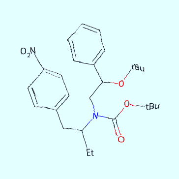 CCC(Cc1ccc([N+](=O)[O-])cc1)N(CC(OC(C)(C)C)c1ccccc1)C(=O)OC(C)(C)C